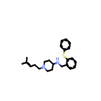 CC(C)=CCCN1CCC(NCc2ccccc2Sc2ccccc2)CC1